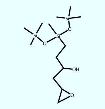 C[Si](C)(C)O[Si](C)(CCC(O)CC1CO1)O[Si](C)(C)C